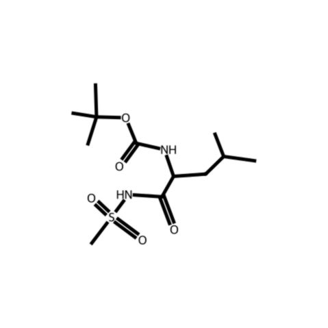 CC(C)CC(NC(=O)OC(C)(C)C)C(=O)NS(C)(=O)=O